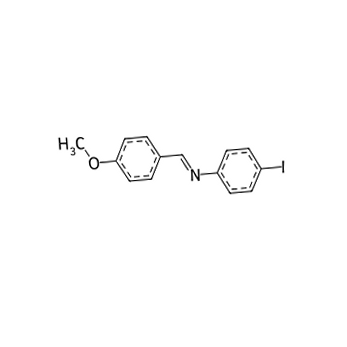 COc1ccc(/C=N/c2ccc(I)cc2)cc1